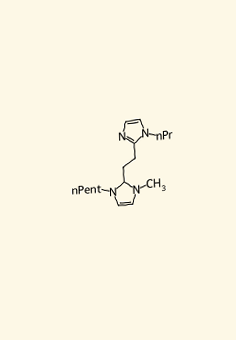 CCCCCN1C=CN(C)C1CCc1nccn1CCC